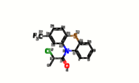 CC(Cl)C(=O)N1c2ccccc2Sc2ccc(C(F)(F)F)cc21